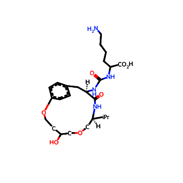 CC(C)[C@H]1COCC(O)CCOc2ccc(cc2)C[C@@H](NC(=O)NC(CCCCN)C(=O)O)C(=O)N1